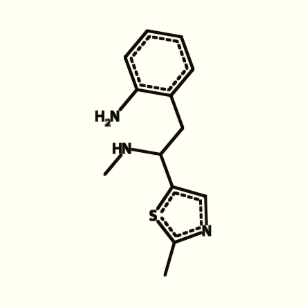 CNC(Cc1ccccc1N)c1cnc(C)s1